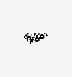 CCCCOC1CCC(C(F)(F)Oc2ccc(-c3ccc(OCC)cc3)c(C(F)F)c2F)OC1